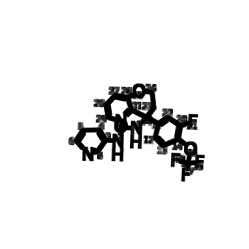 O=C(Nc1cccnc1)N[C@]1(c2ccc(OC(F)(F)F)c(F)c2)CCOc2cccnc21